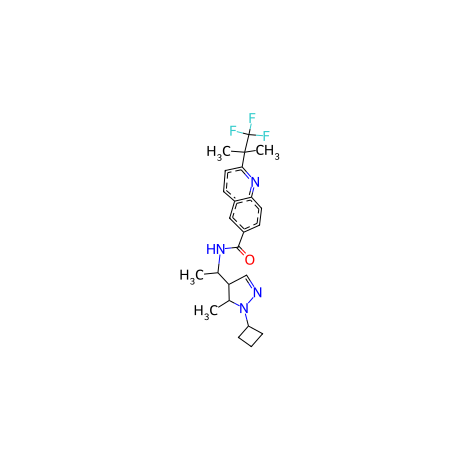 CC(NC(=O)c1ccc2nc(C(C)(C)C(F)(F)F)ccc2c1)C1C=NN(C2CCC2)C1C